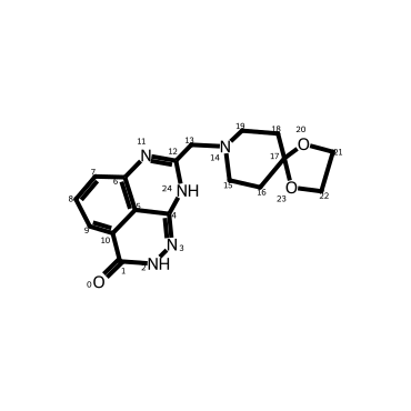 O=c1[nH]nc2c3c(cccc13)N=C(CN1CCC3(CC1)OCCO3)N2